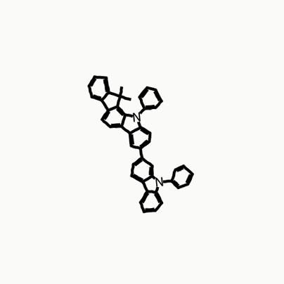 CC1(C)c2ccccc2-c2ccc3c4cc(-c5ccc6c7ccccc7n(-c7ccccc7)c6c5)ccc4n(-c4ccccc4)c3c21